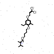 CCc1cc(OCC=C(Cl)Cl)cc(C)c1OCCCCO/N=C(\C)C(C)C